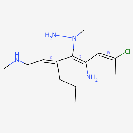 CCCC(=C\CNC)/C(=C(N)/C=C(\C)Cl)N(C)N